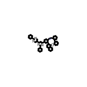 C1=C\c2ccc(-c3cc(-c4cnc(-c5ccccc5)nc4)nc(-c4ccccc4)n3)cc2-c2ccc3ccccc3c2Oc2ccccc2-c2ccccc2/1